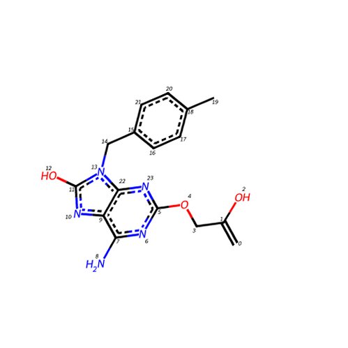 C=C(O)COc1nc(N)c2nc(O)n(Cc3ccc(C)cc3)c2n1